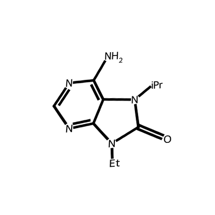 CCn1c(=O)n(C(C)C)c2c(N)ncnc21